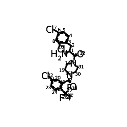 NC(Cc1ccc(Cl)cc1Cl)C(=O)N1CCN(C(=O)c2cc(Cl)ccc2C(F)(F)F)CC1